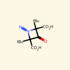 CC(C)(C)C1(C(=O)O)C(=O)C(C(=O)O)(C(C)(C)C)[N+]1=[N-]